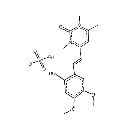 COc1cc(O)c(C=Cc2cc(C)n(C)c(=O)[n+]2C)cc1OC.O=S(=O)([O-])O